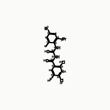 Cc1cc(Br)cc(C(C)C)c1NC(=O)NC(=O)c1cc(F)c(Cl)nc1Cl